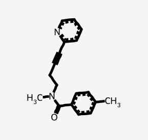 Cc1ccc(C(=O)N(C)CCC#Cc2ccccn2)cc1